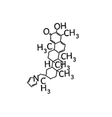 CC1=C(O)C(=O)C=C2C1=CC=C1[C@@]2(C)CC[C@@]2(C)[C@@H]3C[C@](C)(Cn4cccc4)CC[C@@]3(C)CC[C@]12C